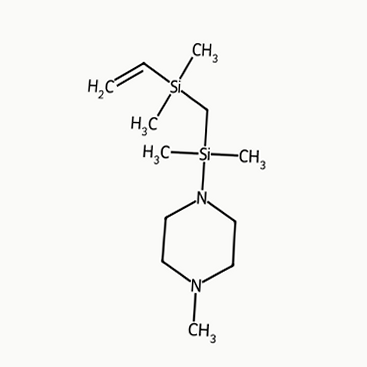 C=C[Si](C)(C)C[Si](C)(C)N1CCN(C)CC1